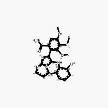 COc1cc(C(N)=O)c(-c2nc3ncccn3c2Nc2c(Cl)cccc2Cl)c(OC)c1OC